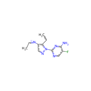 C=Cc1c(/N=C\C)cnn1-c1ncc(F)c(N)n1